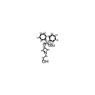 CC(C)(C)[Si](OC1CN(CCO)C1)(c1ccccc1)c1ccccc1